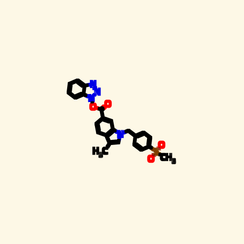 Cc1cn(Cc2ccc(S(C)(=O)=O)cc2)c2cc(C(=O)On3nnc4ccccc43)ccc12